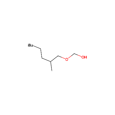 CCC(C)CCC(C)COCO